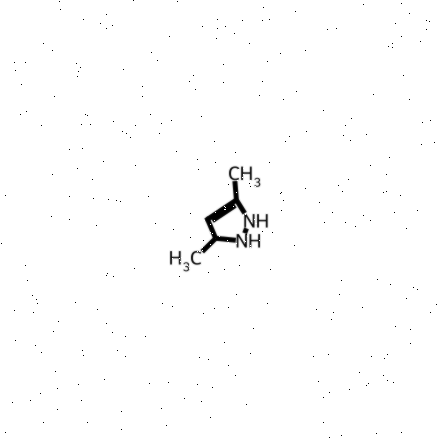 CC1=CC(C)NN1